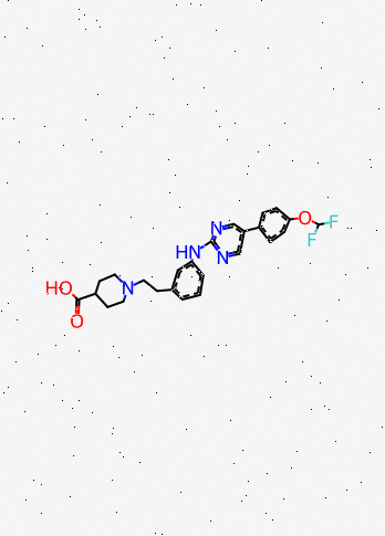 O=C(O)C1CCN(CCc2cccc(Nc3ncc(-c4ccc(OC(F)F)cc4)cn3)c2)CC1